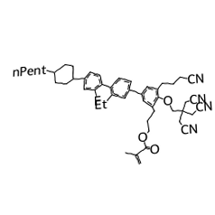 C=C(C)C(=O)OCCCc1cc(-c2ccc(-c3ccc(C4CCC(CCCCC)CC4)cc3F)c(CC)c2)cc(CCCC#N)c1OCC(CC#N)(CC#N)CC#N